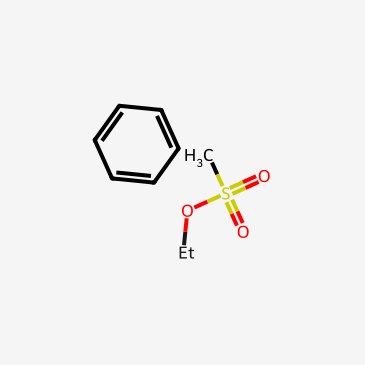 CCOS(C)(=O)=O.c1ccccc1